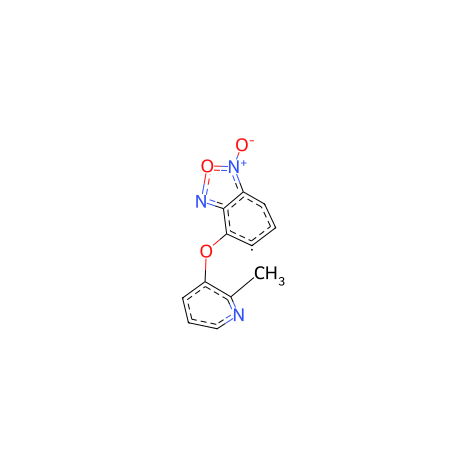 Cc1ncccc1Oc1[c]ccc2c1no[n+]2[O-]